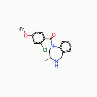 CC(C)Oc1ccc(C(=O)N2C[C@@H](C)NCc3ccccc32)c(Cl)c1